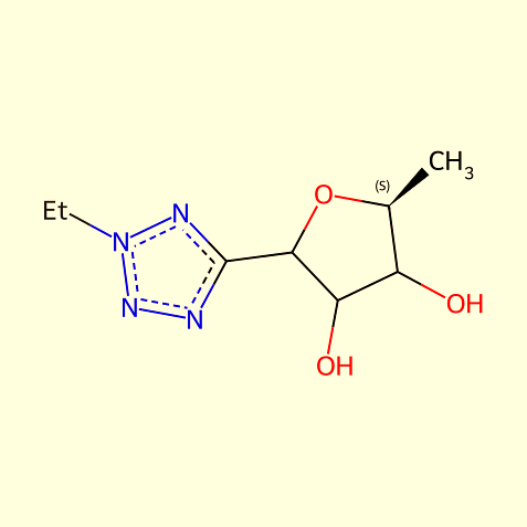 CCn1nnc(C2O[C@@H](C)C(O)C2O)n1